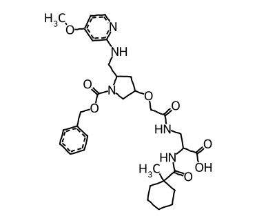 COc1ccnc(NCC2CC(OCC(=O)NCC(NC(=O)C3(C)CCCCC3)C(=O)O)CN2C(=O)OCc2ccccc2)c1